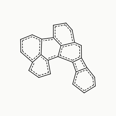 c1ccc2c(c1)c1cc3cccc4c5cccc6cccc(c65)c(c34)c21